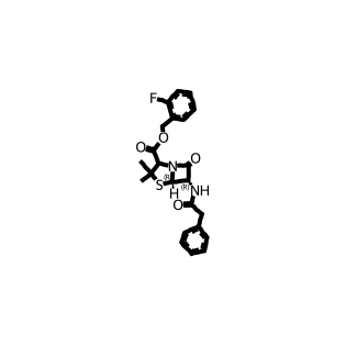 CC1(C)S[C@@H]2[C@H](NC(=O)Cc3ccccc3)C(=O)N2C1C(=O)OCc1ccccc1F